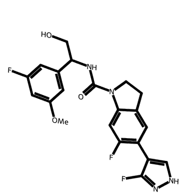 COc1cc(F)cc(C(CO)NC(=O)N2CCc3cc(-c4c[nH]nc4F)c(F)cc32)c1